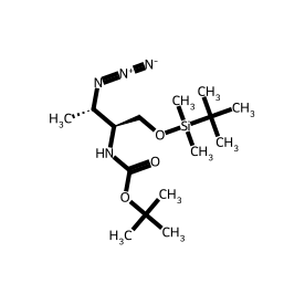 C[C@H](N=[N+]=[N-])[C@@H](CO[Si](C)(C)C(C)(C)C)NC(=O)OC(C)(C)C